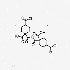 O=C(Cl)C1CCC(C(=O)O)(C(=O)OC(=O)C2(C(=O)O)CCC(C(=O)Cl)CC2)CC1